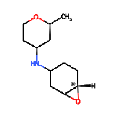 CC1CC(NC2CC[C@@H]3OC3C2)CCO1